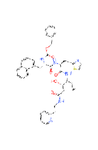 CC(C)CC(NC(=O)[C@H](Cc1nccs1)NC(=O)[C@H](Cc1cccc2ccccc12)NC(=O)OCc1ccccc1)C(O)CC(=O)NCCc1ccccn1